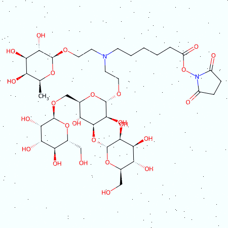 C[C@@H]1O[C@H](OCCN(CCCCCC(=O)ON2C(=O)CCC2=O)CCO[C@H]2O[C@H](CO[C@H]3O[C@H](CO)[C@@H](O)[C@H](O)[C@@H]3O)[C@@H](O)[C@H](O[C@H]3O[C@H](CO)[C@@H](O)[C@H](O)[C@@H]3O)[C@@H]2O)[C@@H](O)[C@H](O)[C@@H]1O